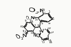 O=[N+]([O-])c1cccc(C(c2cccc([N+](=O)[O-])c2[N+](=O)[O-])[n+]2ccccc2)c1[N+](=O)[O-]